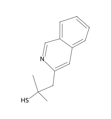 CC(C)(S)Cc1cc2ccccc2cn1